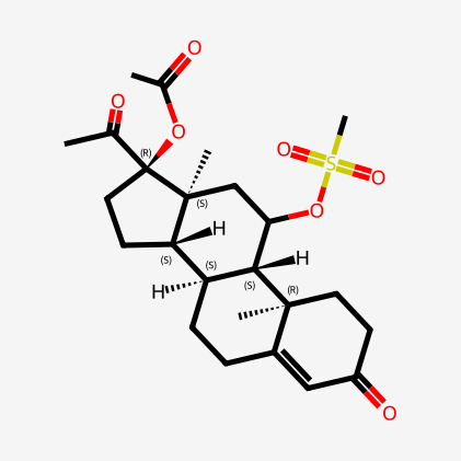 CC(=O)O[C@]1(C(C)=O)CC[C@H]2[C@@H]3CCC4=CC(=O)CC[C@]4(C)[C@H]3C(OS(C)(=O)=O)C[C@@]21C